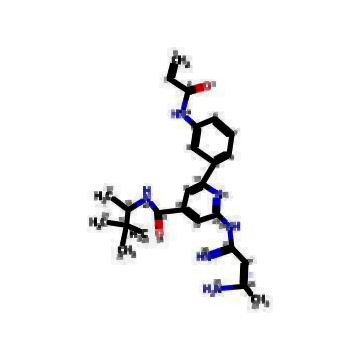 C=CC(=O)Nc1cccc(-c2cc(C(=O)NC(C)C(C)(C)C)cc(NC(=N)/C=C(/C)N)n2)c1